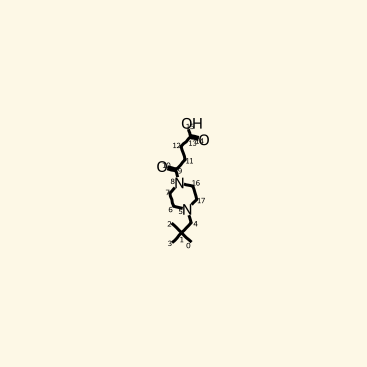 CC(C)(C)CN1CCN(C(=O)CCC(=O)O)CC1